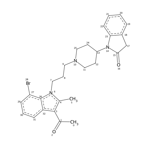 CC(=O)c1c(C)n(CCCN2CCC(N3C(=O)Cc4ccccc43)CC2)c2c(Br)cccc12